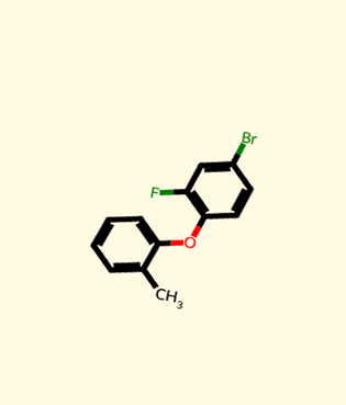 Cc1ccccc1Oc1ccc(Br)cc1F